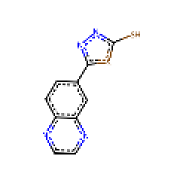 Sc1nnc(-c2ccc3nccnc3c2)s1